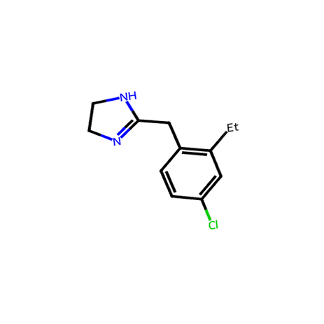 CCc1cc(Cl)ccc1CC1=NCCN1